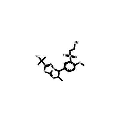 COc1ccc(C2C(C)N=C3SC(C(C)(C)O)=NN32)cc1S(=O)(=O)CCO